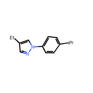 CCc1cnn(-c2ccc(C(C)C)cc2)c1